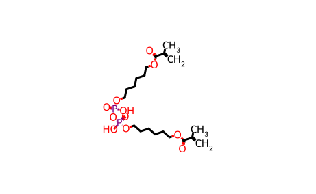 C=C(C)C(=O)OCCCCCCOP(=O)(O)OP(=O)(O)OCCCCCCOC(=O)C(=C)C